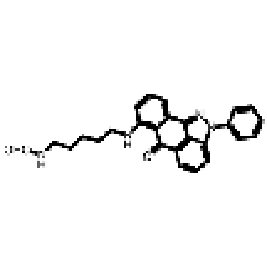 O=CNCCCCCNc1cccc2c1C(=O)c1cccc3c1c-2nn3-c1ccccc1